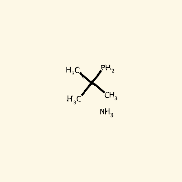 CC(C)(C)P.N